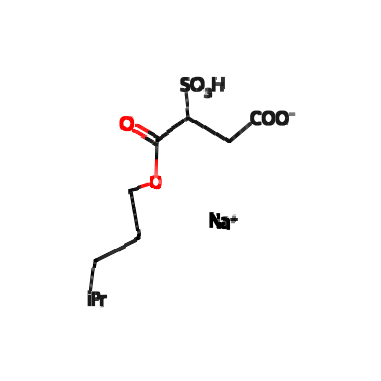 CC(C)CCCOC(=O)C(CC(=O)[O-])S(=O)(=O)O.[Na+]